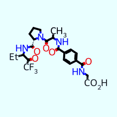 CCC(NC(=O)[C@@H]1CCCN1C(=O)C(C)NC(=O)c1ccc(C(=O)NCC(=O)O)cc1)C(=O)C(F)(F)F